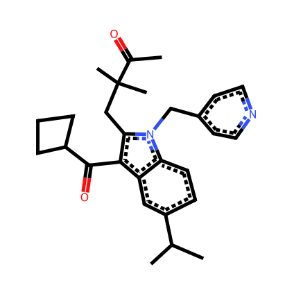 CC(=O)C(C)(C)Cc1c(C(=O)C2CCC2)c2cc(C(C)C)ccc2n1Cc1ccncc1